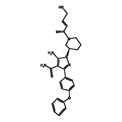 NC(=O)c1c(-c2ccc(Oc3ccccc3)cc2)nn([C@@H]2CCCN(C(=O)/C=C/CO)C2)c1N